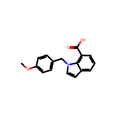 COc1ccc(Cn2ccc3cccc(C(=O)O)c32)cc1